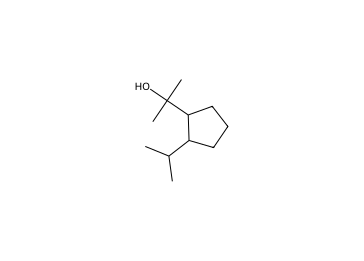 CC(C)C1CCCC1C(C)(C)O